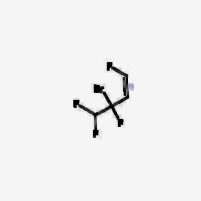 F/C=C\C(F)(Br)C(F)F